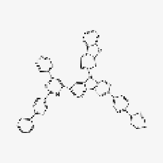 c1ccc(-c2ccc(-c3ccc4c(c3)c3ccc(-c5nc(-c6ccccc6)nc(-c6ccc(-c7ccccc7)cc6)n5)cc3n4-c3ccc4c(c3)oc3ccccc34)cc2)cc1